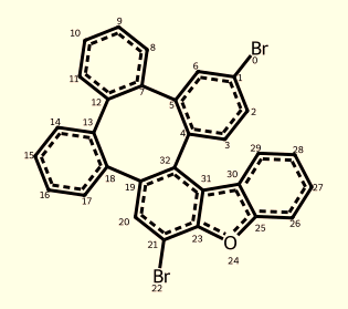 Brc1ccc2c(c1)-c1ccccc1-c1ccccc1-c1cc(Br)c3oc4ccccc4c3c1-2